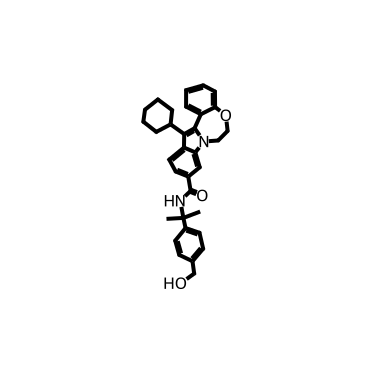 CC(C)(NC(=O)c1ccc2c(C3CCCCC3)c3n(c2c1)CCOc1ccccc1-3)c1ccc(CO)cc1